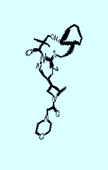 COCC(C)(C)C(=O)n1nc(C2CN(C(=O)CN3CCOCC3)C2C)nc1SCc1ccccc1